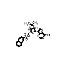 CC1(C)O[C@@H]2[C@H](O1)[C@@H](CNS(=O)(=O)c1ccc3ccccc3c1)O[C@H]2c1csc2c(N)ncnc12